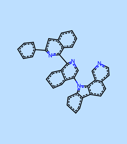 c1ccc(-c2cc3ccccc3c(-c3ncc(-n4c5ccccc5c5ccc6ccncc6c54)c4ccccc34)n2)cc1